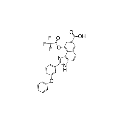 O=C(O)c1cc(OC(=O)C(F)(F)F)c2c(ccc3[nH]c(-c4cccc(Oc5ccccc5)c4)nc32)c1